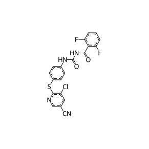 N#Cc1cnc(Sc2ccc(NC(=O)NC(=O)c3c(F)cccc3F)cc2)c(Cl)c1